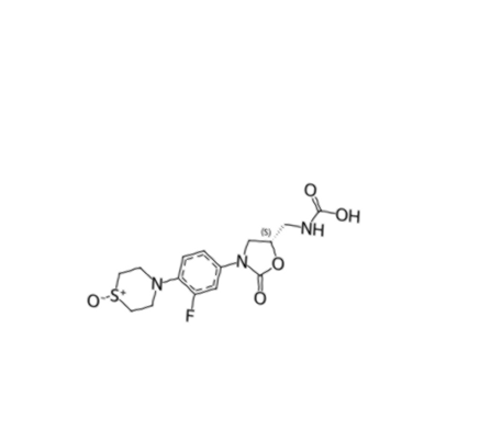 O=C(O)NC[C@H]1CN(c2ccc(N3CC[S+]([O-])CC3)c(F)c2)C(=O)O1